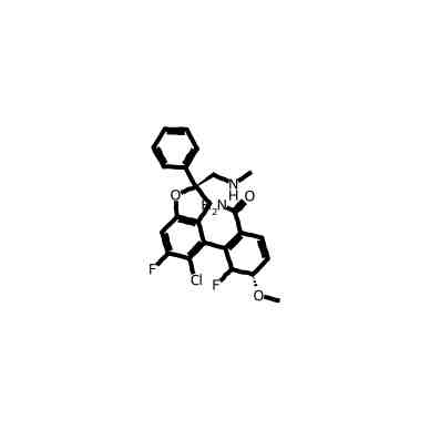 CNC[C@@]1(c2ccccc2)Cc2c(cc(F)c(Cl)c2C2=C(C(N)=O)C=C[C@H](OC)C2F)O1